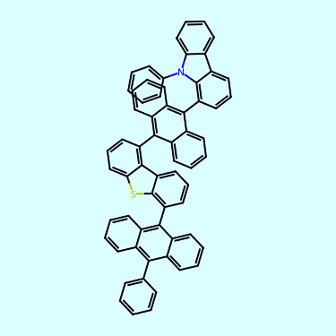 c1ccc(-c2c3ccccc3c(-c3cccc4c3sc3cccc(-c5c6ccccc6c(-c6cccc7c8ccccc8n(-c8ccccc8)c67)c6ccccc56)c34)c3ccccc23)cc1